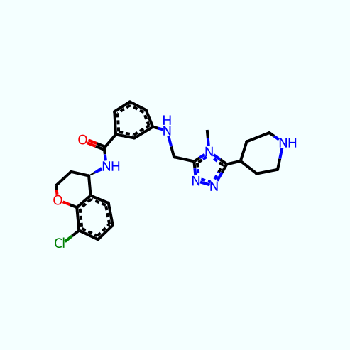 Cn1c(CNc2cccc(C(=O)N[C@@H]3CCOc4c(Cl)cccc43)c2)nnc1C1CCNCC1